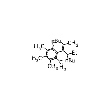 CCCC/C(C)=C(\c1c(C)c(C)c(C)c(C)c1F)C(CC)CCCC